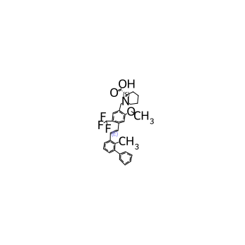 COc1cc(/C=C/c2cccc(-c3ccccc3)c2C)c(C(F)(F)F)cc1CN1CCCC[C@H]1C(=O)O